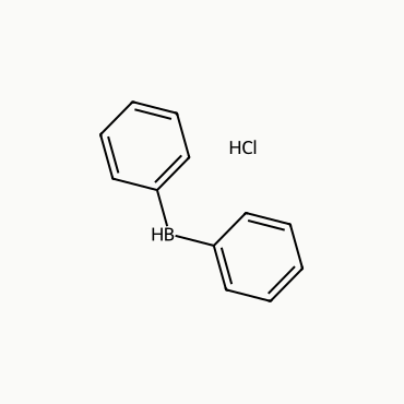 B(c1ccccc1)c1ccccc1.Cl